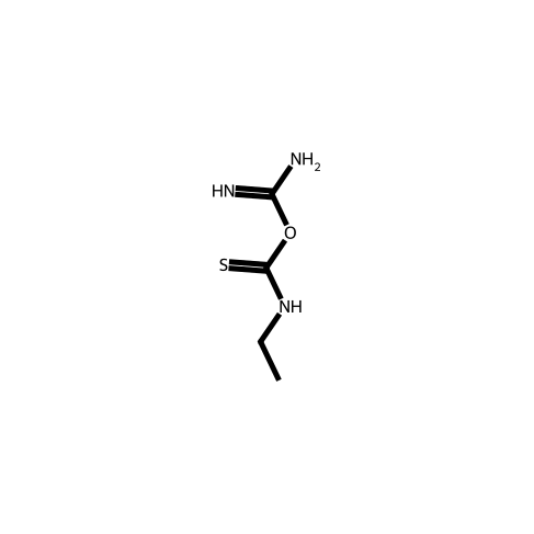 CCNC(=S)OC(=N)N